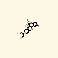 C=C(CCl)N1CCC2(CC1)COC1c3cc(Cl)ccc3OC(C)(C)C1C2